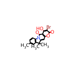 Cc1ccc2c(c1)C(C)(C)c1cc3oc(=O)c(Br)c(O)c3c(=O)n1-2